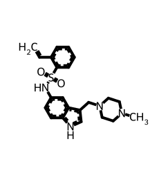 C=Cc1ccccc1S(=O)(=O)Nc1ccc2[nH]cc(CN3CCN(C)CC3)c2c1